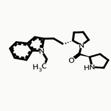 CCn1c(CC[C@@H]2CCCN2C(=O)[C@H]2CCCN2)cc2ccccc21